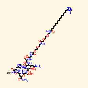 CCCNC(=O)[C@H](Cc1c[nH]cn1)NC(=O)[C@H](CCC(N)=O)NC(=O)[C@H](CO)NC(=O)[C@H](CO)NC(=O)[C@H](CCC(N)=O)NC(=O)[C@@H](CO)NC(=O)CNC(=O)COCCOCCNC(=O)COCCOCCNC(=O)CCCCCCCCCCCCCCCc1nnn[nH]1